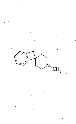 CN1CCC2(CC1)Cc1ccccc12